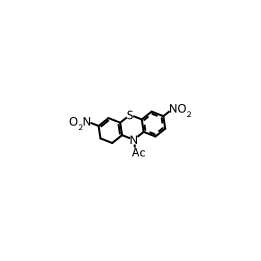 CC(=O)N1C2=C(C=C([N+](=O)[O-])CC2)Sc2cc([N+](=O)[O-])ccc21